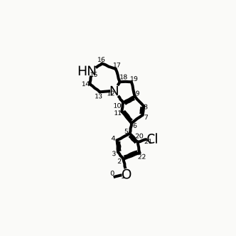 COc1ccc(-c2ccc3c(c2)N2CCNCCC2C3)c(Cl)c1